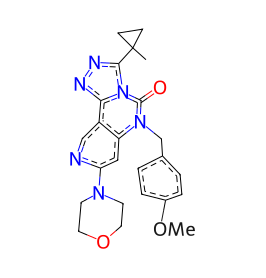 COc1ccc(Cn2c(=O)n3c(C4(C)CC4)nnc3c3cnc(N4CCOCC4)cc32)cc1